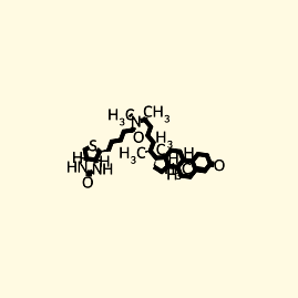 CC(CCC[C@@H](C)[C@H]1CC[C@H]2[C@@H]3CCC4=CC(=O)CC[C@]4(C)[C@H]3CC[C@]12C)N(C)C(=O)CCCC[C@@H]1SC[C@@H]2NC(=O)N[C@@H]21